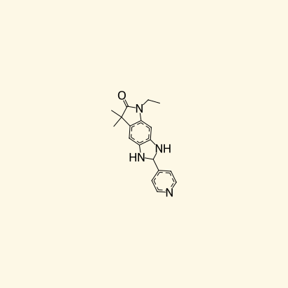 CCN1C(=O)C(C)(C)c2cc3c(cc21)NC(c1ccncc1)N3